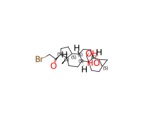 C[C@]12CC[C@H]3[C@@H](CC[C@H]4C5C[C@@]5(O)CCC43CO)[C@@H]1CC[C@@H]2C(=O)CBr